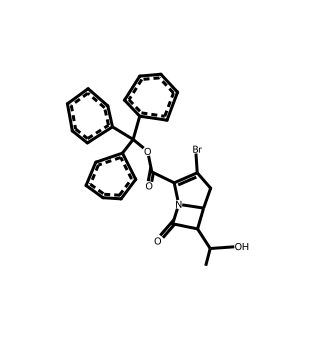 CC(O)C1C(=O)N2C(C(=O)OC(c3ccccc3)(c3ccccc3)c3ccccc3)=C(Br)CC12